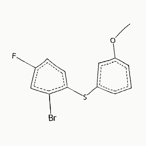 COc1cccc(Sc2ccc(F)cc2Br)c1